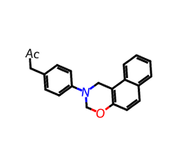 CC(=O)Cc1ccc(N2COc3ccc4ccccc4c3C2)cc1